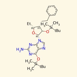 CC[C@H]1O[C@@H](n2cnc3c(O[Si](C)(C)C(C)(C)C)nc(N)nc32)C(O[Si](C)(C)C(C)(C)C)[C@H]1CCc1ccccc1